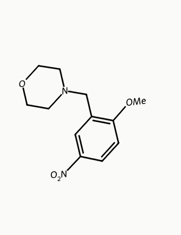 COc1ccc([N+](=O)[O-])cc1CN1CCOCC1